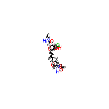 CCCNC(=O)C[C@@H]1C[C@@](O)(CCl)C[C@@H](/C=C/C(C)=C/C[C@@H]2O[C@H](C)[C@H](NOC(C)=O)C[C@@H]2C)O1